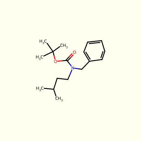 CC(C)CCN(Cc1ccccc1)C(=O)OC(C)(C)C